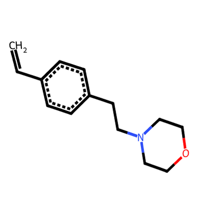 C=Cc1ccc(CCN2CCOCC2)cc1